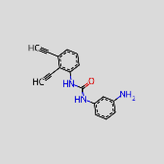 C#Cc1cccc(NC(=O)Nc2cccc(N)c2)c1C#C